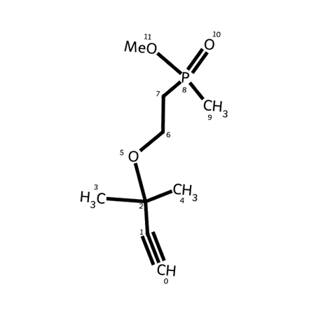 C#CC(C)(C)OCCP(C)(=O)OC